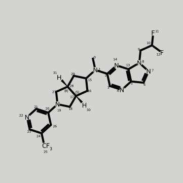 CN(c1cnc2cnn(CC(F)F)c2n1)C1C[C@@H]2CN(c3cncc(C(F)(F)F)c3)C[C@@H]2C1